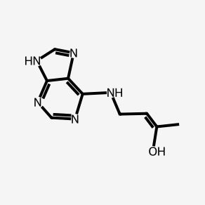 C/C(O)=C/CNc1ncnc2[nH]cnc12